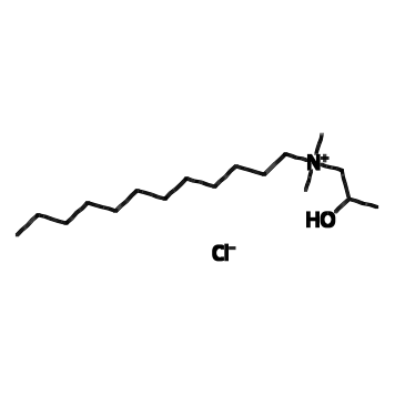 CCCCCCCCCCCC[N+](C)(C)CC(C)O.[Cl-]